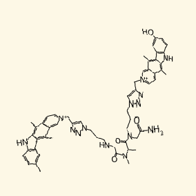 Cc1ccc2[nH]c3c(C)c4cc[n+](Cc5cn(CCCNCC(=O)N(C)C(C)C(=O)N(CCCn6cc(C[n+]7ccc8c(C)c9[nH]c%10ccc(O)cc%10c9c(C)c8c7)nn6)CC(N)=O)nn5)cc4c(C)c3c2c1